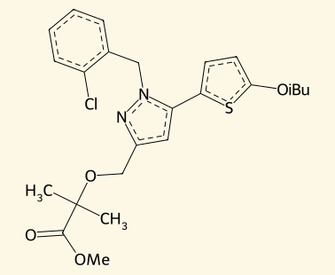 COC(=O)C(C)(C)OCc1cc(-c2ccc(OCC(C)C)s2)n(Cc2ccccc2Cl)n1